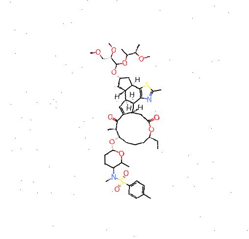 CC[C@H]1CCC[C@H](O[C@H]2CC[C@H](N(C)S(=O)(=O)c3ccc(C)cc3)C(C)O2)[C@@H](C)C(=O)C2=C[C@H]3[C@@H]4C[C@H](OC(OC(C)[C@@H](C)OC)[C@H](COC)OC)C[C@H]4c4sc(C)nc4[C@H]3[C@@H]2CC(=O)O1